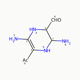 CC(=O)C1=C(N)NC(C=O)C(N)N1